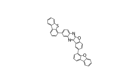 c1ccc2c(c1)oc1c(-c3ccc4oc5nc6ccc(-c7cccc8c7sc7ccccc78)cc6nc5c4c3)cccc12